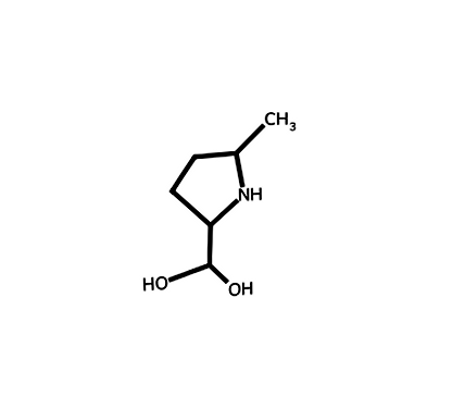 CC1CCC(C(O)O)N1